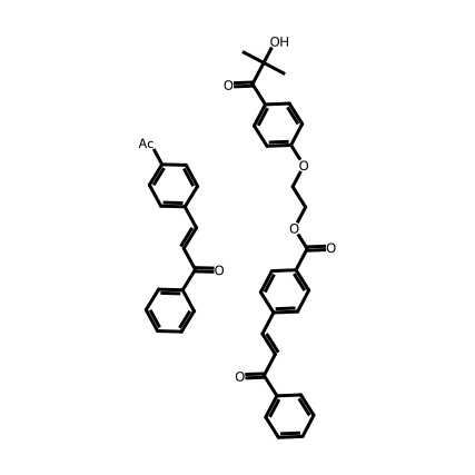 CC(=O)c1ccc(C=CC(=O)c2ccccc2)cc1.CC(C)(O)C(=O)c1ccc(OCCOC(=O)c2ccc(/C=C/C(=O)c3ccccc3)cc2)cc1